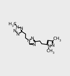 Cc1cc(CCc2ncn(CCc3nnn(C)n3)n2)n(C)n1